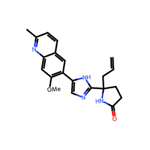 C=CCC1(c2ncc(-c3cc4ccc(C)nc4cc3OC)[nH]2)CCC(=O)N1